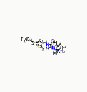 C[C@H]1[C@H](NC(=O)N2C=c3cc(C#CC(F)(F)F)sc3=CC2)C2CCN1CC2